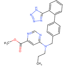 CCCN(Cc1ccc(-c2ccccc2-c2nnn[nH]2)cc1)c1cc(C(=O)OC)ncn1